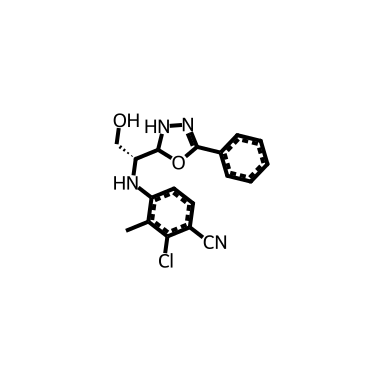 Cc1c(N[C@H](CO)C2NN=C(c3ccccc3)O2)ccc(C#N)c1Cl